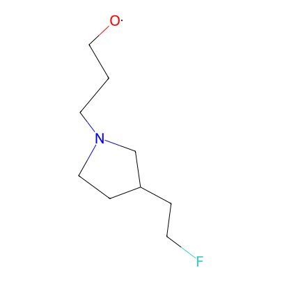 [O]CCCN1CCC(CCF)C1